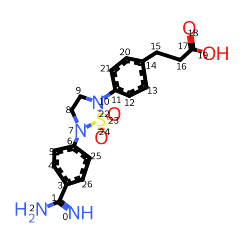 N=C(N)c1ccc(N2CCN(c3ccc(CCC(=O)O)cc3)S2(=O)=O)cc1